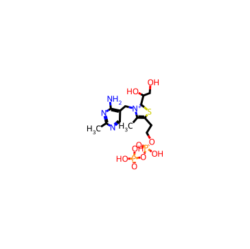 Cc1ncc(C[n+]2c(C(O)CO)sc(CCOP(=O)(O)OP(=O)(O)O)c2C)c(N)n1